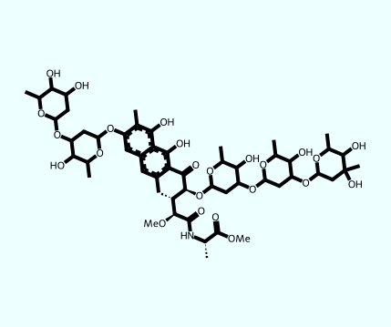 COC(=O)[C@H](C)NC(=O)[C@@H](OC)[C@@H]1Cc2cc3cc(OC4CC(OC5CC(O)C(O)C(C)O5)C(O)C(C)O4)c(C)c(O)c3c(O)c2C(=O)[C@H]1OC1CC(OC2CC(OC3CC(C)(O)C(O)C(C)O3)C(O)C(C)O2)C(O)C(C)O1